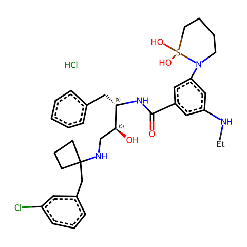 CCNc1cc(C(=O)N[C@@H](Cc2ccccc2)[C@@H](O)CNC2(Cc3cccc(Cl)c3)CCC2)cc(N2CCCCS2(O)O)c1.Cl